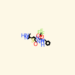 Cc1[nH]ncc1-c1cc2c(s1)C(=O)NC(CNCc1ccccc1)N2OC(=O)C(F)(F)F